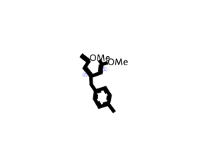 C=C(/C=C(\C=C(/C)OC)Cc1ccc(C)cc1)OC